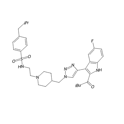 CCC(C)C(=O)c1[nH]c2ccc(F)cc2c1-c1cn(CC2CCN(CCNS(=O)(=O)c3ccc(CC(C)C)cc3)CC2)nn1